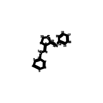 C(/Sc1ccccc1)=C1/CCS/C1=N\c1ccccc1